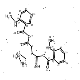 CC(C)=O.N=C(CCC(=O)OC(=O)c1cnccc1NN)OC(=O)c1cnccc1NN.NN